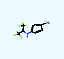 Cc1ccc(NC(C(F)(F)F)C(F)(F)F)cc1